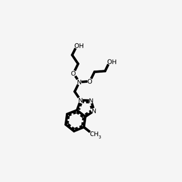 Cc1cccc2c1nnn2CN(OCCO)OCCO